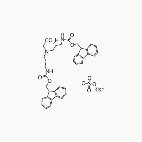 O=C(O)CN(CCCNC(=O)OCC1c2ccccc2-c2ccccc21)CCCNC(=O)OCC1c2ccccc2-c2ccccc21.O=S(=O)([O-])[O-].[K+].[K+]